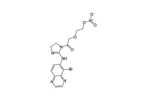 O=C(COCCO[N+](=O)[O-])N1CCN=C1Nc1ccc2nccnc2c1Br